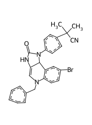 CC(C)(C#N)c1ccc(N2C(=O)NC3=CN(Cc4ccccc4)c4ccc(Br)cc4C32)cc1